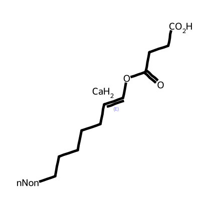 CCCCCCCCCCCCCC/C=C/OC(=O)CCC(=O)O.[CaH2]